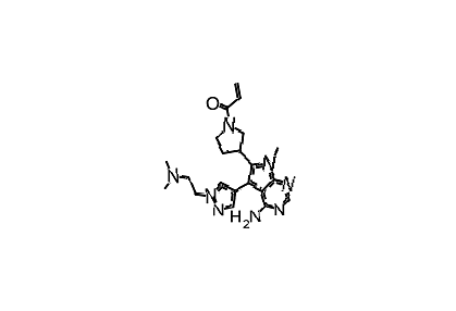 C=CC(=O)N1CCC(c2c(-c3cnn(CCN(C)C)c3)c3c(N)ncnc3n2C)C1